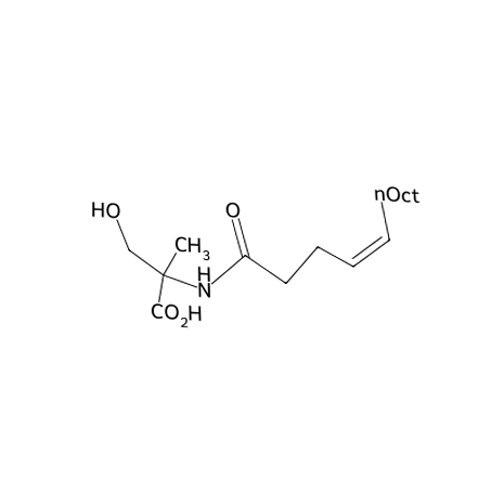 CCCCCCCC/C=C\CCC(=O)NC(C)(CO)C(=O)O